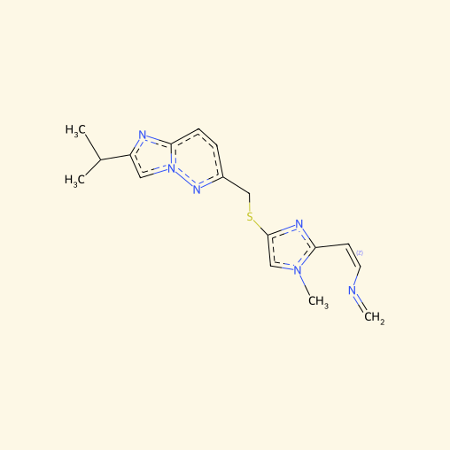 C=N/C=C\c1nc(SCc2ccc3nc(C(C)C)cn3n2)cn1C